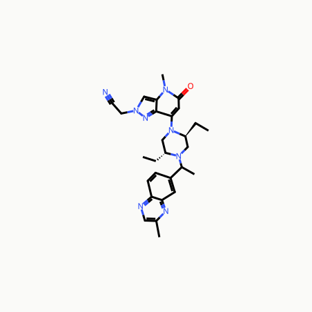 CC[C@H]1CN(C(C)c2ccc3ncc(C)nc3c2)[C@H](CC)CN1c1cc(=O)n(C)c2cn(CC#N)nc12